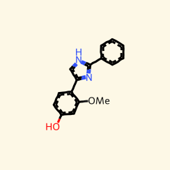 COc1cc(O)ccc1-c1c[nH]c(-c2ccccc2)n1